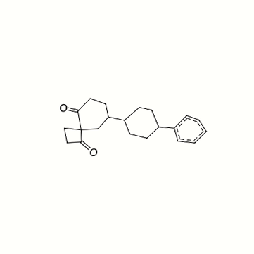 O=C1CCC(C2CCC(c3ccccc3)CC2)CC12CCC2=O